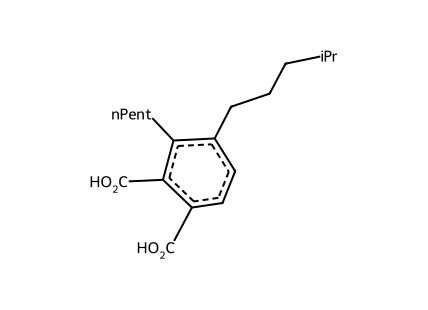 CCCCCc1c(CCCC(C)C)ccc(C(=O)O)c1C(=O)O